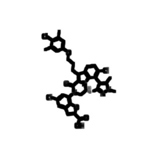 Cc1cc(OCCCc2c3n(c4c(-c5c(C)nn(C)c5C)c(Cl)ccc24)[C@H](C)CN(c2cc(Cl)cc4cc(C(=O)O)oc24)C3=O)cc(C)c1Cl